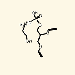 C=COCC(COP(=O)(O)O)OC=C.NCCO